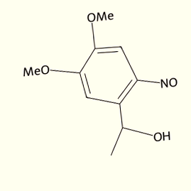 COc1cc(N=O)c(C(C)O)cc1OC